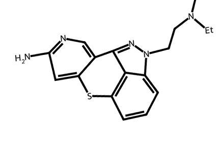 CCN(CC)CCn1nc2c3c(cccc31)Sc1cc(N)ncc1-2